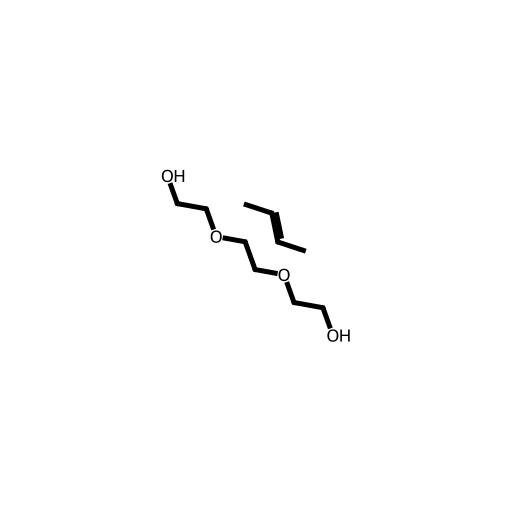 C/C=C/C.OCCOCCOCCO